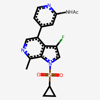 CC(=O)Nc1cc(-c2cnc(C)c3c2c(F)cn3S(=O)(=O)C2CC2)ccn1